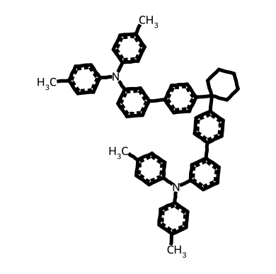 Cc1ccc(N(c2ccc(C)cc2)c2cccc(-c3ccc(C4(c5ccc(-c6cccc(N(c7ccc(C)cc7)c7ccc(C)cc7)c6)cc5)CCCCC4)cc3)c2)cc1